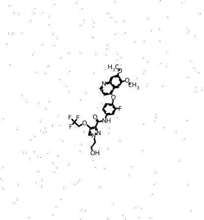 COc1cc2nccc(Oc3ccc(NC(=O)c4nn(CCO)cc4OCC(F)(F)F)cc3F)c2cc1OC